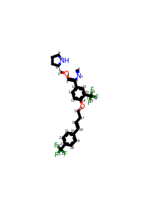 C=N/C(=C\OC[C@@H]1CCCN1)c1ccc(OCC/C=C/c2ccc(C(F)(F)F)cc2)c(C(F)(F)F)c1